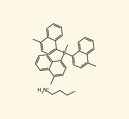 CCCC[NH3+].Cc1ccc([B-](C)(c2ccc(C)c3ccccc23)c2ccc(C)c3ccccc23)c2ccccc12